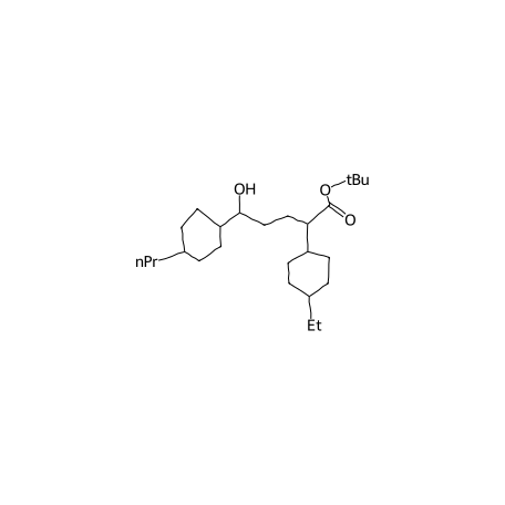 CCCC1CCC(C(O)CCC(C(=O)OC(C)(C)C)C2CCC(CC)CC2)CC1